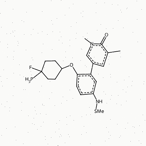 CSNc1ccc(OC2CCC(F)(P)CC2)c(-c2cc(C)c(=O)n(C)c2)c1